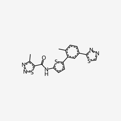 Cc1ccc(-c2nncs2)cc1-c1ccc(NC(=O)c2snnc2C)s1